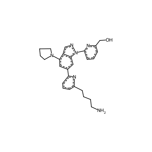 NCCCCc1cccc(-c2cc(N3CCCC3)c3cnn(-c4cccc(CO)n4)c3c2)n1